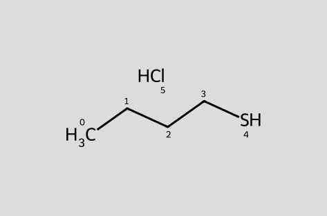 CCCCS.Cl